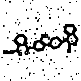 COC(=O)c1ccccc1C(=O)c1ccc(N2CCC(N3C(=O)OCc4ccccc43)CC2)c([N+](=O)[O-])c1